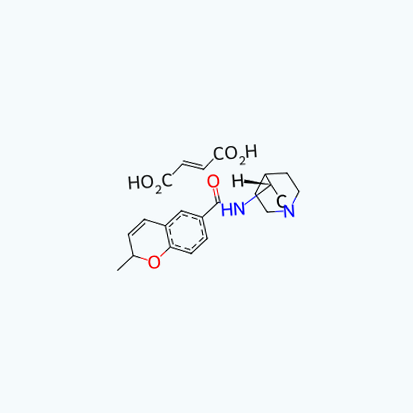 CC1C=Cc2cc(C(=O)N[C@H]3CN4CCC3CC4)ccc2O1.O=C(O)C=CC(=O)O